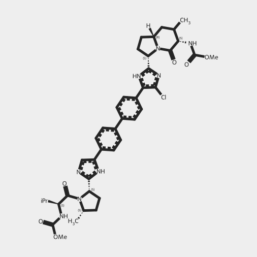 COC(=O)N[C@H](C(=O)N1[C@@H](C)CC[C@H]1c1ncc(-c2ccc(-c3ccc(-c4[nH]c([C@@H]5CC[C@@H]6CC(C)[C@H](NC(=O)OC)C(=O)N65)nc4Cl)cc3)cc2)[nH]1)C(C)C